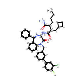 CCCC[C@H](C(N)=O)[C@@H](CC1CCC1)C(=O)N[C@H]1N=C(c2ccccc2)c2ccccc2N(Cc2cccc(-c3ccc(F)c(Cl)c3)c2)C1=O